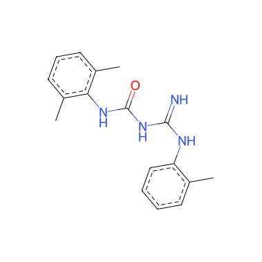 Cc1ccccc1NC(=N)NC(=O)Nc1c(C)cccc1C